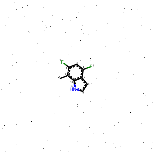 Cc1c(F)cc(F)c2cc[nH]c12